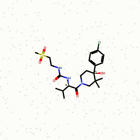 CC(C)[C@@H](NC(=O)NCCS(C)(=O)=O)C(=O)N1CC[C@](O)(c2ccc(Cl)cc2)C(C)(C)C1